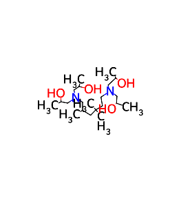 CC(O)CN(CCC(C)(C)CC(C)CN(CC(C)O)CC(C)O)CC(C)O